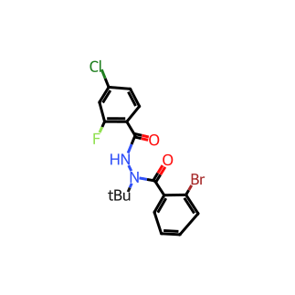 CC(C)(C)N(NC(=O)c1ccc(Cl)cc1F)C(=O)c1ccccc1Br